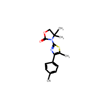 Cc1sc(N2C(=O)OCC2(C)C)nc1-c1ccc(C#N)cc1